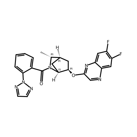 C[C@@H]1[C@H]2C[C@@H](Oc3cnc4cc(F)c(F)cc4n3)[C@H](C2)N1C(=O)c1ccccc1-n1nccn1